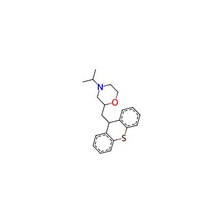 CC(C)N1CCOC(CC2c3ccccc3Sc3ccccc32)C1